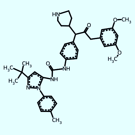 COc1cc(CC(=O)C(c2ccc(NC(=O)Nc3cc(C(C)(C)C)nn3-c3ccc(C)cc3)cc2)C2CCNCC2)cc(OC)c1